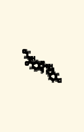 Cn1c(Nc2nc3ccc(Cl)cc3s2)nc2cc(C(=O)NCC=O)ccc21